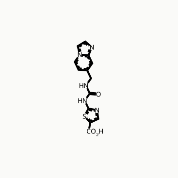 O=C(NCc1ccn2ccnc2c1)Nc1ncc(C(=O)O)s1